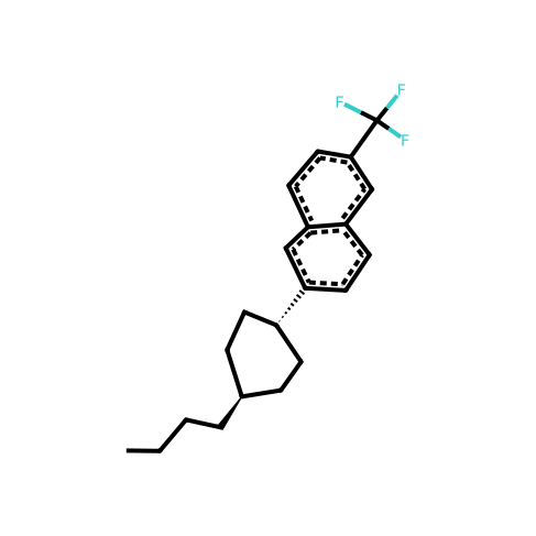 CCCC[C@H]1CC[C@H](c2ccc3cc(C(F)(F)F)ccc3c2)CC1